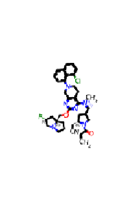 C=CC(=O)N1CC(/C=[N+](/C)c2nc(OC[C@@]34CCCN3C[C@H](F)C4)nc3c2CCN(c2cccc4cccc(Cl)c24)C3)C[C@H]1CC#N